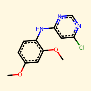 COc1ccc(Nc2cc(Cl)ncn2)c(OC)c1